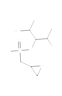 CC(O)C(OP(=O)(O)CC1CO1)C(C)O